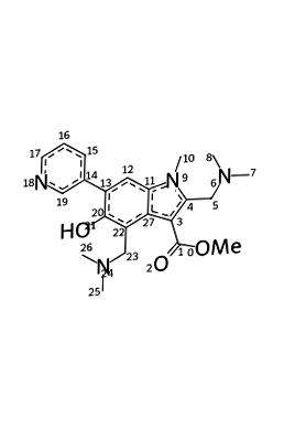 COC(=O)c1c(CN(C)C)n(C)c2cc(-c3cccnc3)c(O)c(CN(C)C)c12